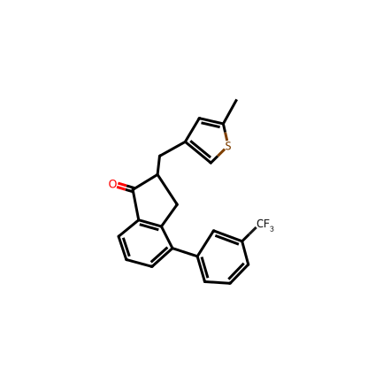 Cc1cc(CC2Cc3c(cccc3-c3cccc(C(F)(F)F)c3)C2=O)cs1